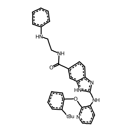 CC(C)(C)c1ccccc1Oc1ncccc1Nc1nc2ccc(C(=O)NCCNc3ccccc3)cc2[nH]1